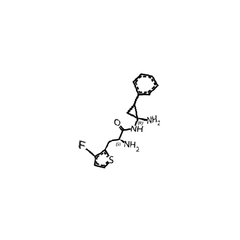 N[C@@H](Cc1sccc1F)C(=O)N[C@]1(N)CC1c1ccccc1